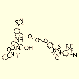 Cc1ncsc1-c1ccc(CNC(=O)C2C[C@@H](O)CN2C(=O)[C@H](C(C)C)N2Cc3ccccc3C2=O)c(OCCOCCOCCOc2ccc(N3C(=S)N(c4ccc(C#N)c(C(F)(F)F)c4)C(=O)C3(C)C)cc2)c1